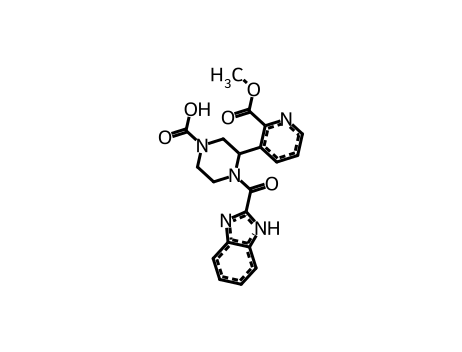 COC(=O)c1ncccc1C1CN(C(=O)O)CCN1C(=O)c1nc2ccccc2[nH]1